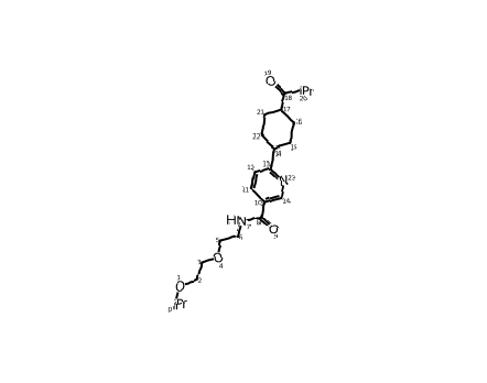 CC(C)OCCOCCNC(=O)c1ccc(C2CCC(C(=O)C(C)C)CC2)nc1